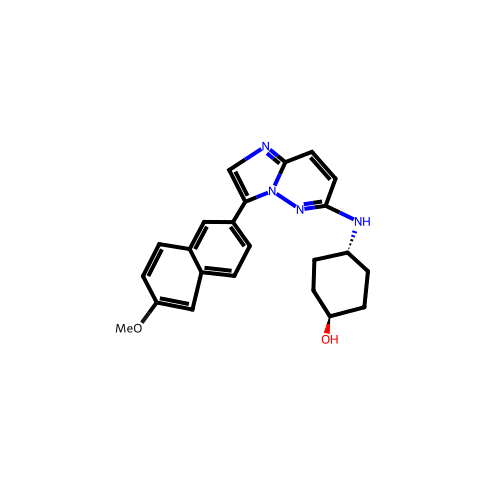 COc1ccc2cc(-c3cnc4ccc(N[C@H]5CC[C@H](O)CC5)nn34)ccc2c1